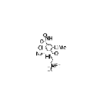 CCN(CC)CCNC(=O)c1cc(Cl)c(C(=O)N[O-])cc1OC.[Na+]